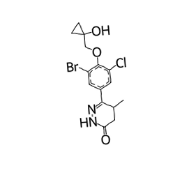 CC1CC(=O)NN=C1c1cc(Cl)c(OCC2(O)CC2)c(Br)c1